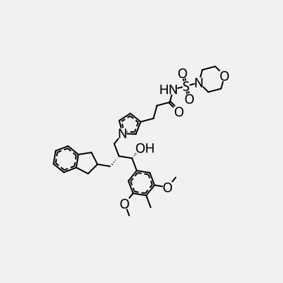 COc1cc([C@@H](O)[C@H](CC2Cc3ccccc3C2)Cn2ccc(CCC(=O)NS(=O)(=O)N3CCOCC3)c2)cc(OC)c1C